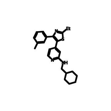 CCc1nc(-c2cccc(C)c2)c(-c2ccnc(NCC3CCCCC3)c2)s1